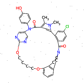 Cc1c2cc(n1C)-c1cc(Cl)ccc1C(=O)N1CCc3c(cccc3OCCCCOc3ncc(cn3)N(c3ccc(O)cc3)C2=O)C1